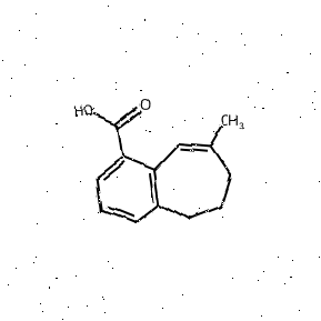 CC1=Cc2c(cccc2C(=O)O)CCC1